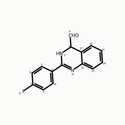 O=CC1NC(c2ccc(I)cc2)=Nc2ccccc21